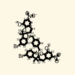 COc1cc([N+](=O)[O-])cc2c1OC1(C=C2)N(Cc2ccc(CN3c4ccc(Br)cc4C(C)(C)C34C=Cc3cc([N+](=O)[O-])cc(OC)c3O4)cc2)c2ccc(Br)cc2C1(C)C